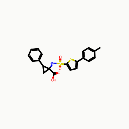 Cc1ccc(-c2ccc(S(=O)(=O)NC3(C(=O)O)CC3c3ccccc3)s2)cc1